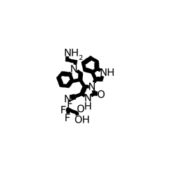 N#Cc1[nH]c(=O)n(-c2c[nH]c3ccccc23)c1-c1cn(CCN)c2ccccc12.O=C(O)C(F)(F)F